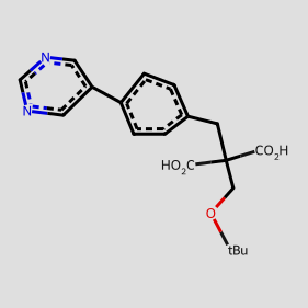 CC(C)(C)OCC(Cc1ccc(-c2cncnc2)cc1)(C(=O)O)C(=O)O